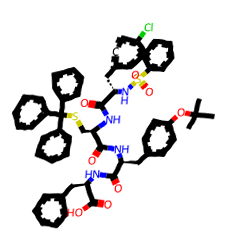 CC(C)(C)Oc1ccc(C[C@H](NC(=O)[C@@H](CSC(c2ccccc2)(c2ccccc2)c2ccccc2)NC(=O)[C@H](Cc2ccc(Cl)cc2)NS(=O)(=O)c2ccccc2)C(=O)N[C@H](Cc2ccccc2)C(=O)O)cc1